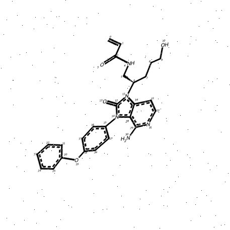 C=CC(=O)NC[C@@H](CCCO)n1c(=O)n(-c2ccc(Oc3ccccc3)cc2)c2c(N)nccc21